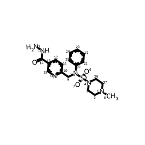 CN1CCN(S(=O)(=O)N(Cc2ccc(C(=O)NN)cn2)c2ccccc2)CC1